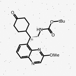 COc1cnc2cccc([C@@H](CNC(=O)OC(C)(C)C)C3CCC(=O)CC3)c2n1